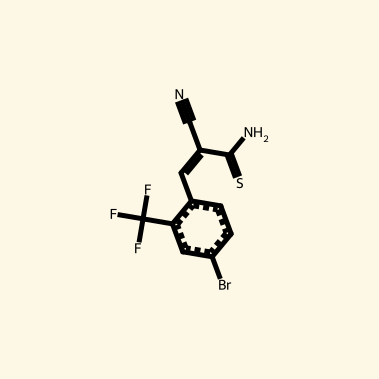 N#CC(=Cc1ccc(Br)cc1C(F)(F)F)C(N)=S